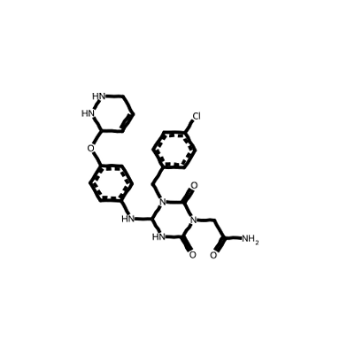 NC(=O)CN1C(=O)NC(Nc2ccc(OC3C=CCNN3)cc2)N(Cc2ccc(Cl)cc2)C1=O